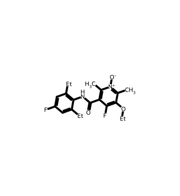 CCOc1c(F)c(C(=O)Nc2c(CC)cc(F)cc2CC)c(C)[n+]([O-])c1C